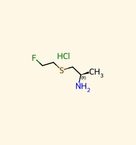 C[C@@H](N)CSCCF.Cl